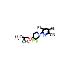 C=C(C)COC1CCN(c2nc(C#N)c(CC)cc2CC)CC1(F)F